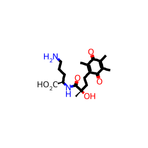 CC1=C(C)C(=O)C(CC[C@](C)(O)C(=O)N[C@H](CCCN)C(=O)O)=C(C)C1=O